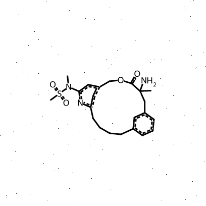 CN(c1cc2cc(n1)CCCCc1cccc(c1)CC(C)(N)C(=O)OC2)S(C)(=O)=O